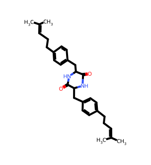 CC(C)=CCCc1ccc(CC2NC(=O)C(Cc3ccc(CCC=C(C)C)cc3)NC2=O)cc1